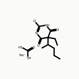 CCCC(C)C1(CC)C(=O)N=C([O-])NC1=O.S=C(S)S.[Na+]